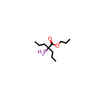 CCCOC(=O)C(P)(CCC)CCC